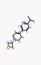 CC(C)c1ccc(C2=CCN(C3COC3)CC2)cn1